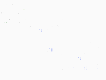 Cc1c(CNC[C@H]2CC[C@@H](Nc3nc(N(C)C)c4ccccc4n3)CC2)cc(-c2ccccc2)n1CCSCc1c(F)cccc1Cl